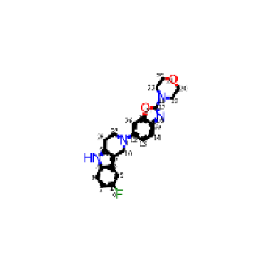 Fc1ccc2[nH]c3c(c2c1)CN(c1ccc2nc(N4CCOCC4)oc2c1)CC3